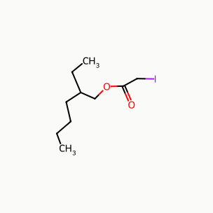 CCCCC(CC)COC(=O)CI